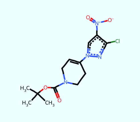 CC(C)(C)OC(=O)N1CC=C(n2cc([N+](=O)[O-])c(Cl)n2)CC1